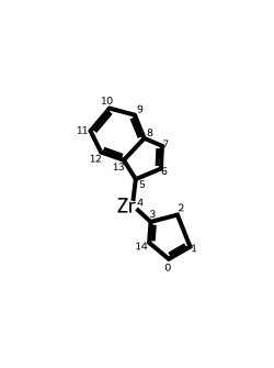 C1=CC[C]([Zr][CH]2C=Cc3ccccc32)=C1